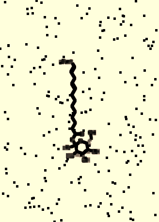 CCCCCC=CCC=CCCCCCCCC(=O)OC1(CCC)O[C@H](CO)[C@@H](O)[C@H](O)[C@H]1O